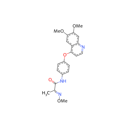 CON=C(C)C(=O)Nc1ccc(Oc2ccnc3cc(OC)c(OC)cc23)cc1